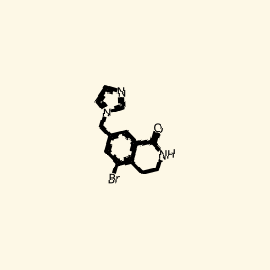 O=C1NCCc2c(Br)cc(Cn3ccnc3)cc21